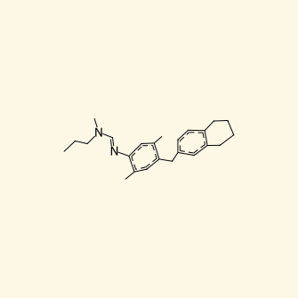 CCCN(C)C=Nc1cc(C)c(Cc2ccc3c(c2)CCCC3)cc1C